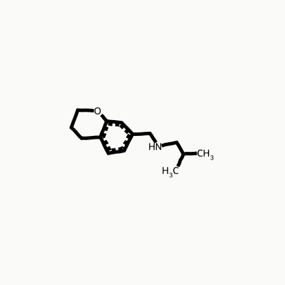 CC(C)CNCc1ccc2c(c1)OCCC2